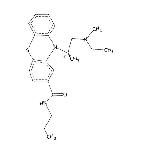 CCCNC(=O)c1ccc2c(c1)N([C@H](C)CN(C)CC)c1ccccc1S2